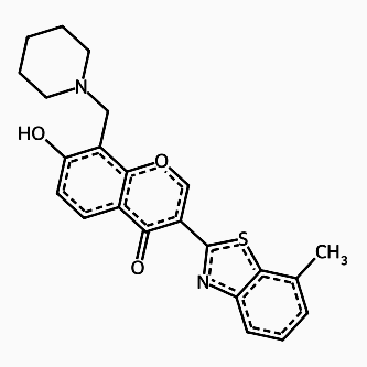 Cc1cccc2nc(-c3coc4c(CN5CCCCC5)c(O)ccc4c3=O)sc12